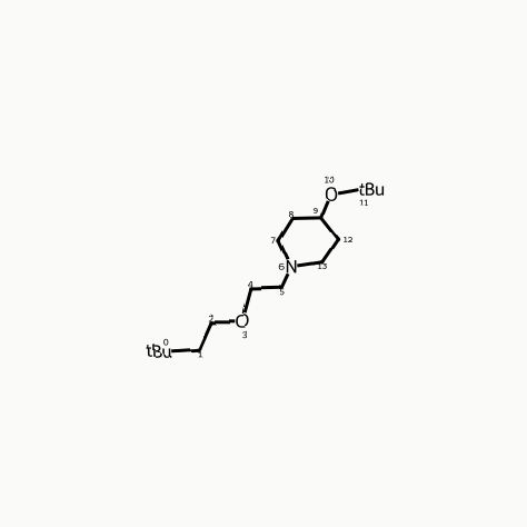 CC(C)(C)CCOCCN1CCC(OC(C)(C)C)CC1